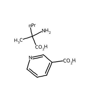 CCCC(C)(N)C(=O)O.O=C(O)c1cccnc1